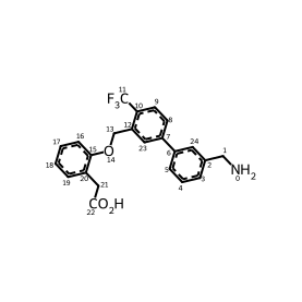 NCc1cccc(-c2ccc(C(F)(F)F)c(COc3ccccc3CC(=O)O)c2)c1